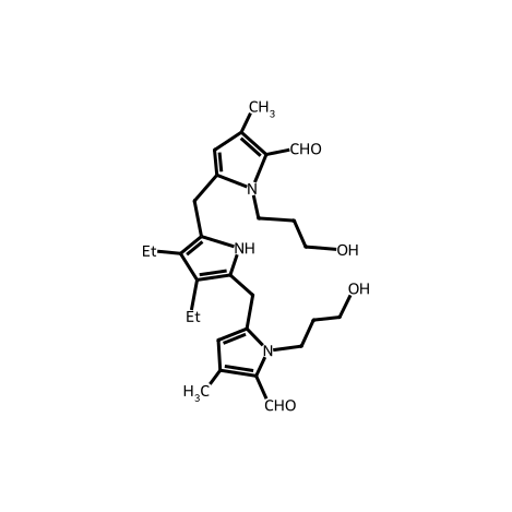 CCc1c(Cc2cc(C)c(C=O)n2CCCO)[nH]c(Cc2cc(C)c(C=O)n2CCCO)c1CC